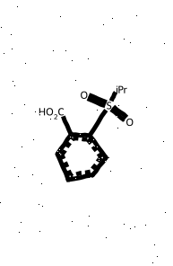 CC(C)S(=O)(=O)c1[c]cccc1C(=O)O